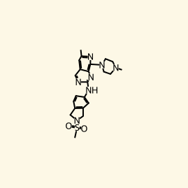 Cc1cc2cnc(Nc3ccc4c(c3)CN(S(C)(=O)=O)C4)nc2c(N2CCN(C)CC2)n1